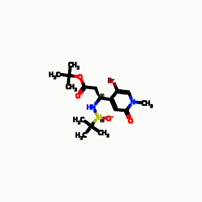 Cn1cc(Br)c([C@H](CC(=O)OC(C)(C)C)N[S@@+]([O-])C(C)(C)C)cc1=O